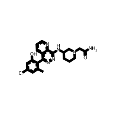 Cc1cc(Cl)cc(O)c1-c1nnc(NC2CCCN(CC(N)=O)C2)c2ncccc12